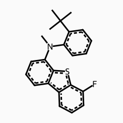 CN(c1ccccc1C(C)(C)C)c1cccc2c1sc1c(F)cccc12